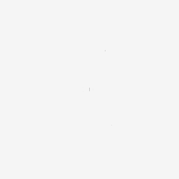 CC1=C(C)C(C)(C)[C]([Os][C]2=C(C)C(C)=C(C)C2(C)C)=C1C